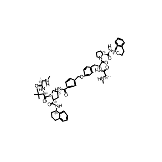 CN[C@@H](C)C(=O)N[C@@H](Cc1ccc(OCc2ccc(C(=O)N[C@H]3C[C@@H](C(=O)N[C@@H]4CCCc5ccccc54)N(C(=O)[C@@H](NC(=O)[C@H](C)NC)C(C)(C)C)C3)cc2)cc1)C(=O)N1CCC[C@H]1C(=O)N[C@@H]1CCCc2ccccc21